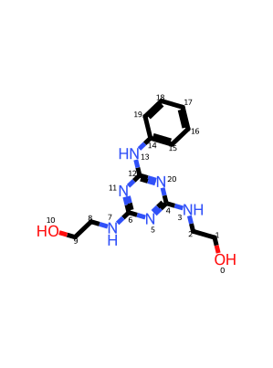 OCCNc1nc(NCCO)nc(Nc2ccccc2)n1